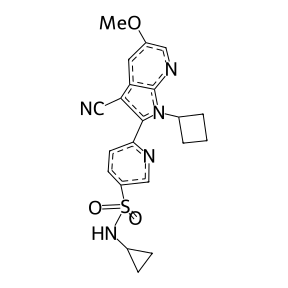 COc1cnc2c(c1)c(C#N)c(-c1ccc(S(=O)(=O)NC3CC3)cn1)n2C1CCC1